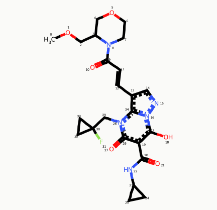 COCC1COCCN1C(=O)C=Cc1cnn2c(O)c(C(=O)NC3CC3)c(=O)n(CC3(F)CC3)c12